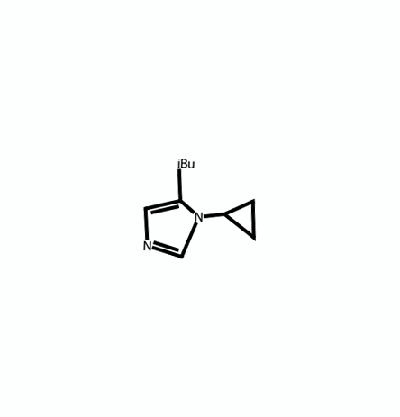 CCC(C)c1cncn1C1CC1